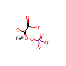 O=C([O-])C(=O)[O-].O=P([O-])([O-])[O-].[Fe+5]